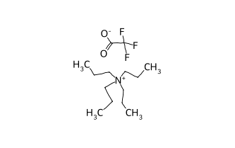 CCC[N+](CCC)(CCC)CCC.O=C([O-])C(F)(F)F